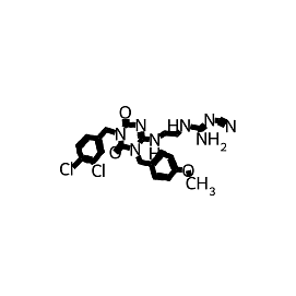 COc1ccc(Cn2c(NCCN/C(N)=N/C#N)nc(=O)n(Cc3ccc(Cl)c(Cl)c3)c2=O)cc1